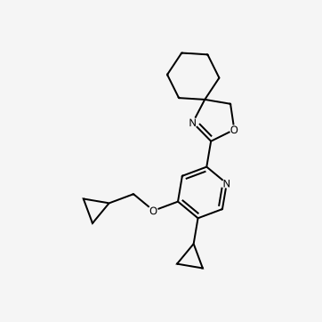 c1c(C2=NC3(CCCCC3)CO2)ncc(C2CC2)c1OCC1CC1